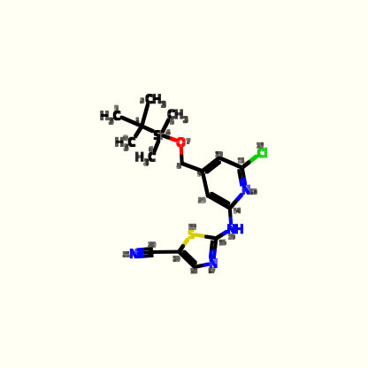 CC(C)(C)[Si](C)(C)OCc1cc(Cl)nc(Nc2ncc(C#N)s2)c1